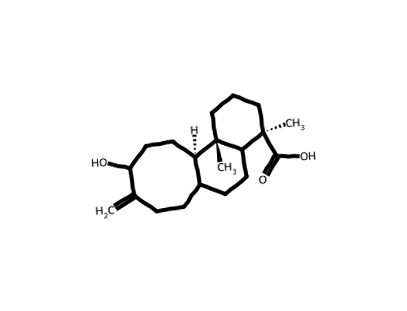 C=C1CCC2CCC3[C@](C)(C(=O)O)CCC[C@@]3(C)[C@@H]2CCC1O